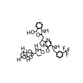 CC[C@H](NC(=O)[C@@H]1C[C@@](C)(CC(=O)Nc2ccccc2CO)c2ncc(NCc3cccc(C(F)(F)F)c3)c(=O)n21)B1O[C@@H]2C[C@@H]3C[C@@H](C3(C)C)[C@]2(C)O1